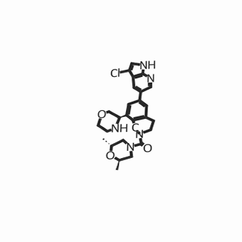 C[C@@H]1CN(C(=O)N2CCc3cc(-c4cnc5[nH]cc(Cl)c5c4)cc([C@@H]4COCCN4)c3C2)C[C@@H](C)O1